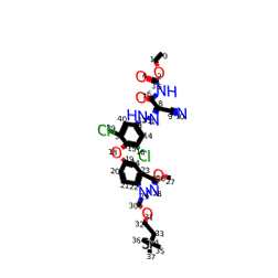 CCOC(=O)NC(=O)C(C#N)=NNc1cc(Cl)c(Oc2ccc3c(c2)c(OC)nn3COCC[Si](C)(C)C)c(Cl)c1